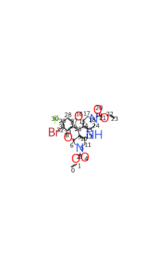 C=COC(=O)N1CC(=O)C2=C(C1)NC1=C(C(=O)CN(C(=O)OC=C)C1)C2c1ccc(F)c(Br)c1